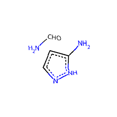 NC=O.Nc1ccn[nH]1